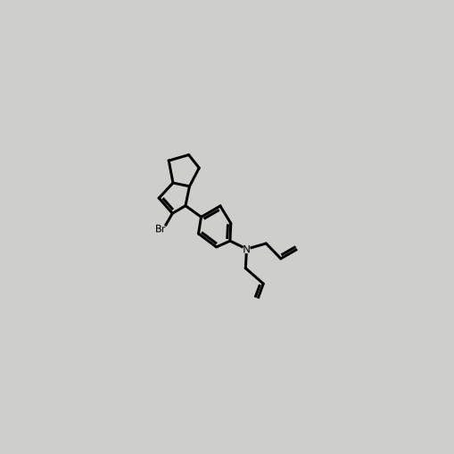 C=CCN(CC=C)c1ccc(C2C(Br)=CC3CCCC32)cc1